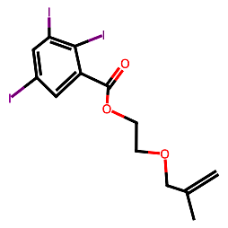 C=C(C)COCCOC(=O)c1cc(I)cc(I)c1I